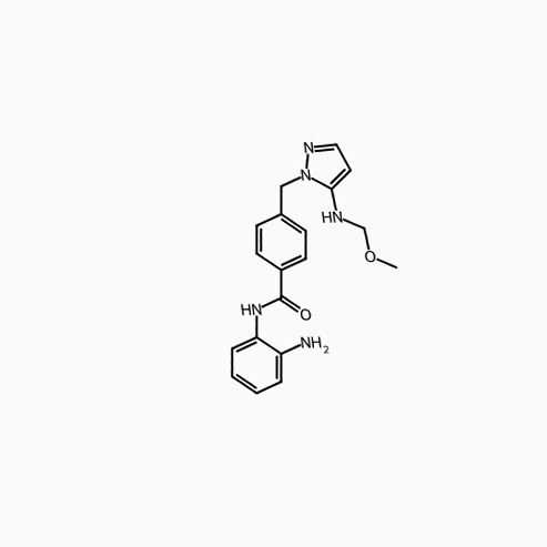 COCNc1ccnn1Cc1ccc(C(=O)Nc2ccccc2N)cc1